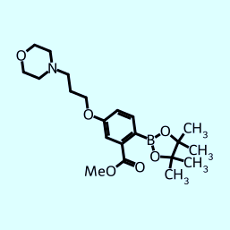 COC(=O)c1cc(OCCCN2CCOCC2)ccc1B1OC(C)(C)C(C)(C)O1